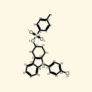 Cc1ccc(S(=O)(=O)OC2CCc3c(c4ccccc4n3-c3ccc(Cl)cc3)C2)cc1